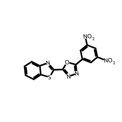 O=[N+]([O-])c1cc(-c2nnc(-c3nc4ccccc4s3)o2)cc([N+](=O)[O-])c1